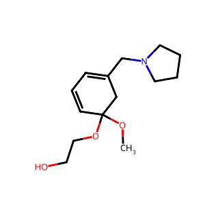 COC1(OCCO)C=CC=C(CN2CCCC2)C1